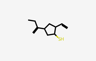 C=CC1CC(C(=C)CC)CC1S